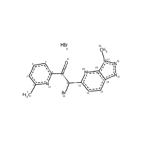 Br.Cc1cccc(C(=O)C(Br)c2ccc3nnn(C)c3n2)n1